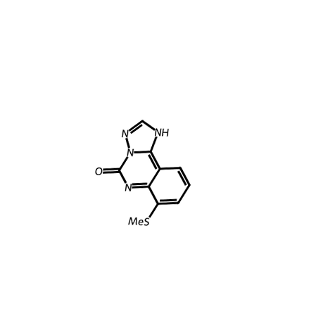 CSc1cccc2c1nc(=O)n1nc[nH]c21